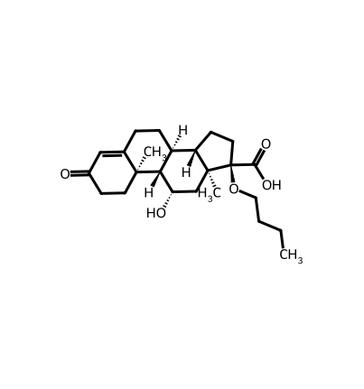 CCCCO[C@]1(C(=O)O)CC[C@H]2[C@@H]3CCC4=CC(=O)CC[C@]4(C)[C@H]3[C@@H](O)C[C@@]21C